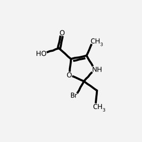 CCC1(Br)NC(C)=C(C(=O)O)O1